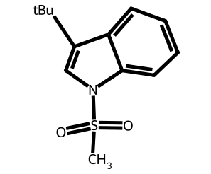 CC(C)(C)c1cn(S(C)(=O)=O)c2ccccc12